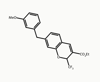 CCOC(=O)C1=Cc2ccc(Cc3cccc(OC)c3)cc2OC1C(F)(F)F